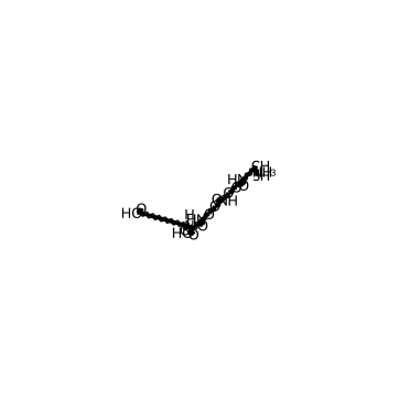 CC(CCCCNC(=O)COCCOCCNC(=O)COCCOCCNC(=O)CCC(NC(=O)CCCCCCCCCCCCCCC(=O)O)C(=O)O)NS